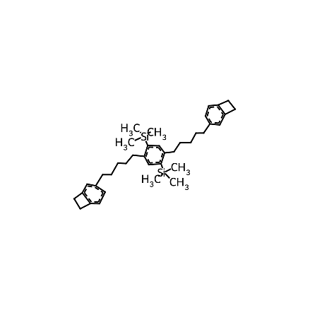 C[Si](C)(C)c1cc(CCCCCc2ccc3c(c2)CC3)c([Si](C)(C)C)cc1CCCCCc1ccc2c(c1)CC2